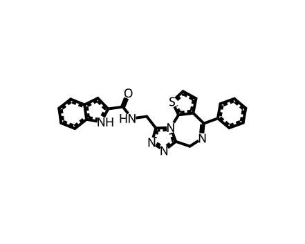 O=C(NCc1nnc2n1-c1sccc1C(c1ccccc1)=NC2)c1cc2ccccc2[nH]1